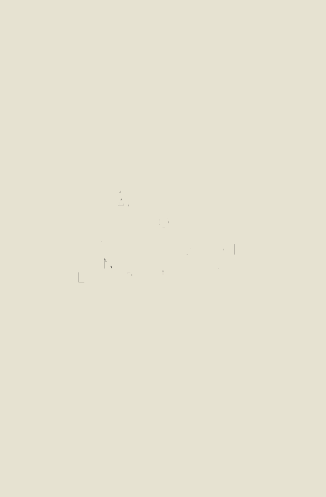 CCn1cc(C(C)=O)c(=O)c(-c2cccc(C(F)(F)F)c2)c1